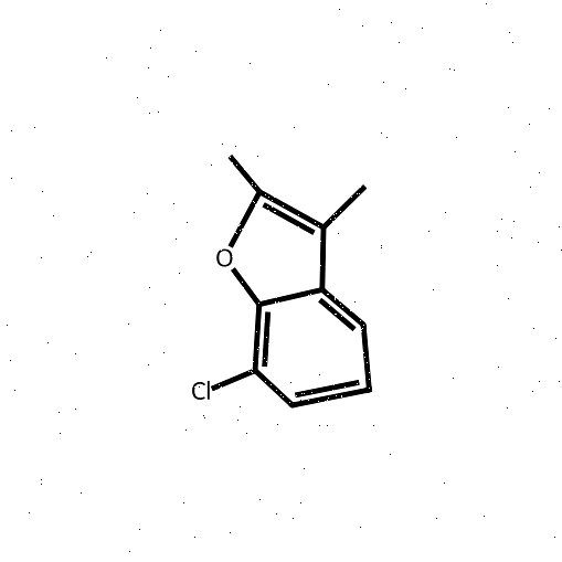 Cc1oc2c(Cl)cccc2c1C